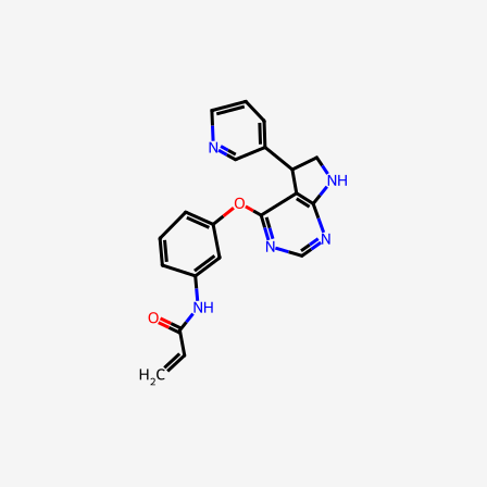 C=CC(=O)Nc1cccc(Oc2ncnc3c2C(c2cccnc2)CN3)c1